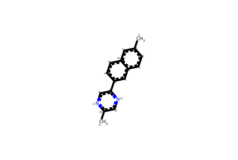 Cc1ccc2cc(-c3cnc(C)cn3)ccc2c1